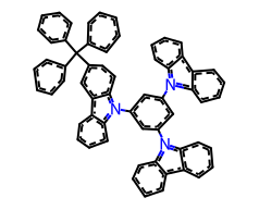 c1ccc(C(c2ccccc2)(c2ccccc2)c2ccc3c(c2)c2ccccc2n3-c2cc(-n3c4ccccc4c4ccccc43)cc(-n3c4ccccc4c4ccccc43)c2)cc1